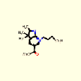 COC(=O)c1cc2c([n+](CCCS(=O)(=O)O)c1)N=C(C)C2(C)C